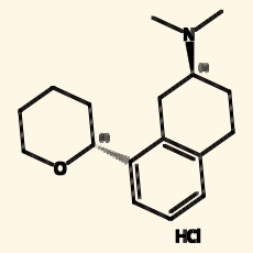 CN(C)[C@H]1CCc2cccc([C@H]3CCCCO3)c2C1.Cl